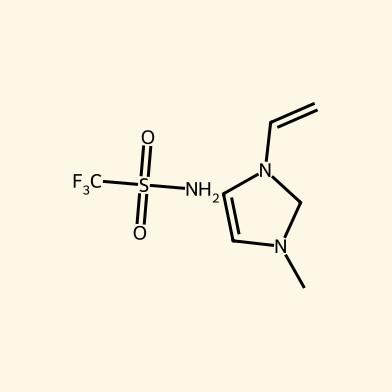 C=CN1C=CN(C)C1.NS(=O)(=O)C(F)(F)F